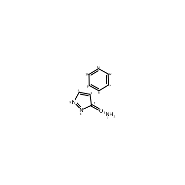 N.O=C1C=CN=N1.c1ccccc1